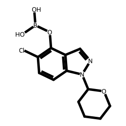 OB(O)Oc1c(Cl)ccc2c1cnn2C1CCCCO1